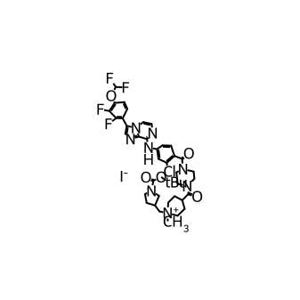 CC(C)(C)OC(=O)N1CCC(C[N+]2(C)CCC(C(=O)N3CCN(C(=O)c4ccc(Nc5nccn6c(-c7ccc(OC(F)F)c(F)c7F)cnc56)cc4Cl)CC3)CC2)C1.[I-]